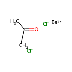 CC(C)=O.[Ba+2].[Cl-].[Cl-]